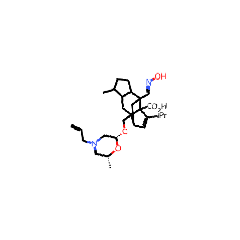 C=CCN1C[C@H](OCC23CC4C(C)CCC4C4(C=NO)CC2C=C(C(C)C)C43C(=O)O)O[C@H](C)C1